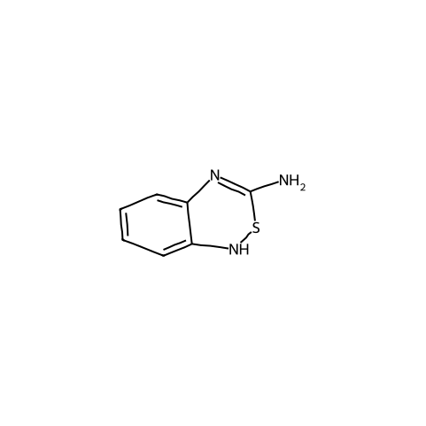 NC1=Nc2ccccc2NS1